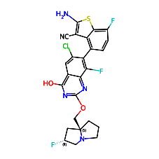 N#Cc1c(N)sc2c(F)ccc(-c3c(Cl)cc4c(O)nc(OC[C@@]56CCCN5C[C@H](F)C6)nc4c3F)c12